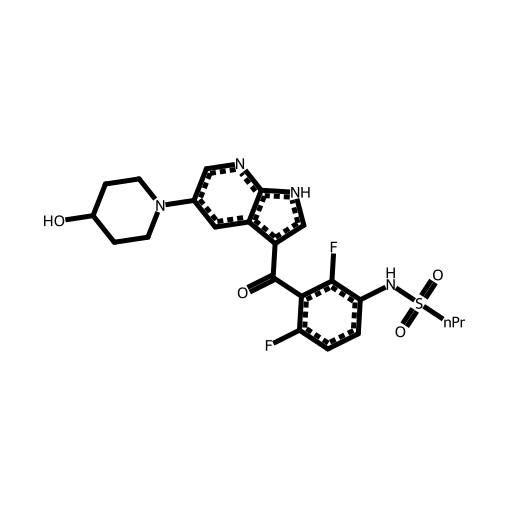 CCCS(=O)(=O)Nc1ccc(F)c(C(=O)c2c[nH]c3ncc(N4CCC(O)CC4)cc23)c1F